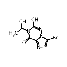 Cc1nn2c(Br)cnc2c(=O)n1C(C)C